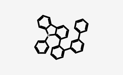 c1ccc(-c2cccc(-c3ccccc3-c3cccc4c5ccccc5n(-c5ccccc5)c34)c2)cc1